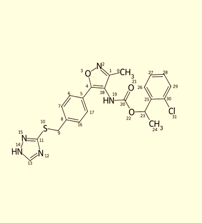 Cc1noc(-c2ccc(CSc3nc[nH]n3)cc2)c1NC(=O)OC(C)c1ccccc1Cl